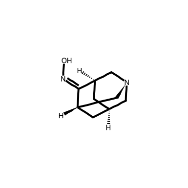 O/N=C1\[C@@H]2C[C@@H]3C[C@H]1C[N@@](C3)C2